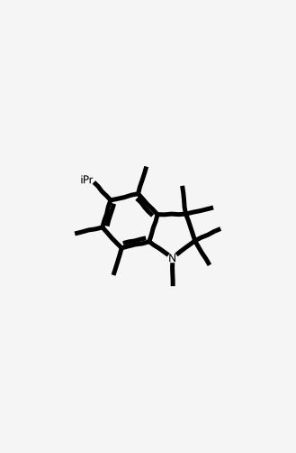 Cc1c(C)c2c(c(C)c1C(C)C)C(C)(C)C(C)(C)N2C